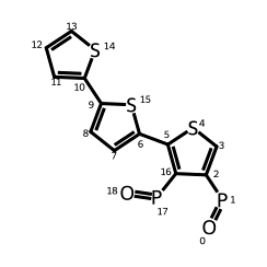 O=Pc1csc(-c2ccc(-c3cccs3)s2)c1P=O